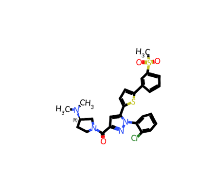 CN(C)[C@@H]1CCN(C(=O)c2cc(-c3ccc(-c4cccc(S(C)(=O)=O)c4)s3)n(-c3ccccc3Cl)n2)C1